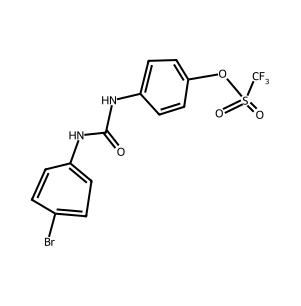 O=C(Nc1ccc(Br)cc1)Nc1ccc(OS(=O)(=O)C(F)(F)F)cc1